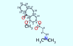 COc1cc(OC(=O)CCCN(C)C)cc2ccc3ccccc3c(=O)c12